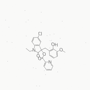 CCN1C(=O)C(Cc2cccc(OC)c2O)(OC(=O)c2ccccn2)c2cc(Cl)ccc21